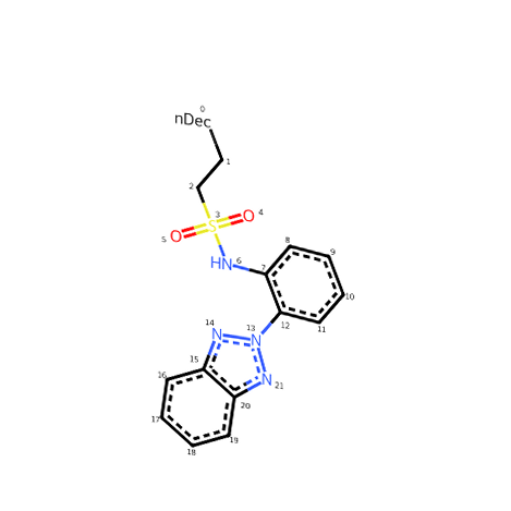 CCCCCCCCCCCCS(=O)(=O)Nc1ccccc1-n1nc2ccccc2n1